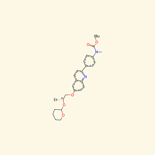 CC[C@H](COc1ccc2nc(-c3ccc(N(C)C(=O)OC(C)(C)C)cc3)ccc2c1)OC1CCCCO1